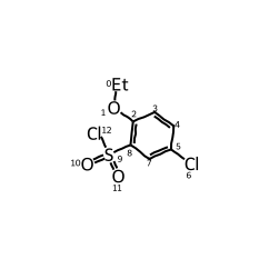 CCOc1ccc(Cl)cc1S(=O)(=O)Cl